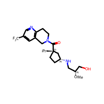 CO[C@@H](CO)CN[C@@H]1CC[C@@](C(=O)N2CCc3ncc(C(F)(F)F)cc3C2)(C(C)C)C1